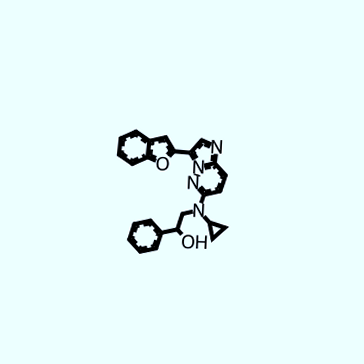 OC(CN(c1ccc2ncc(-c3cc4ccccc4o3)n2n1)C1CC1)c1ccccc1